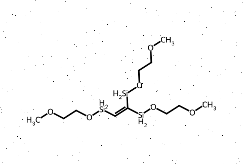 COCCO[SiH2]C=C([SiH2]OCCOC)[SiH2]OCCOC